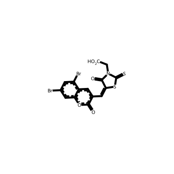 O=C(O)CN1C(=O)/C(=C\c2cc3c(Br)cc(Br)cc3oc2=O)SC1=S